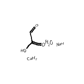 O.O=CC(=O)O.[CaH2].[NaH]